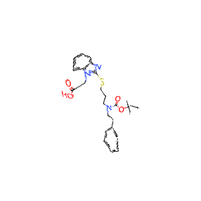 CC(C)(C)OC(=O)N(CCCSc1nc2ccccc2n1CC(=O)O)CCc1ccccc1